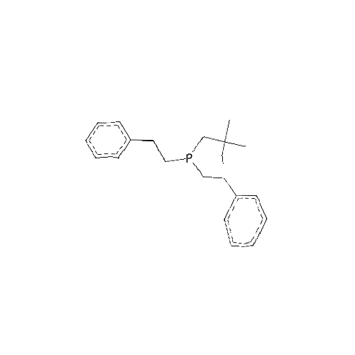 CC(C)(C)CP(CCc1ccccc1)CCc1ccccc1